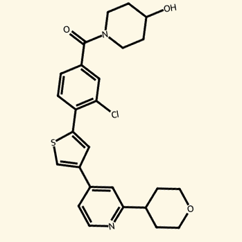 O=C(c1ccc(-c2cc(-c3ccnc(C4CCOCC4)c3)cs2)c(Cl)c1)N1CCC(O)CC1